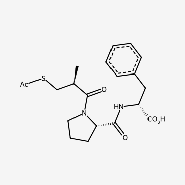 CC(=O)SC[C@@H](C)C(=O)N1CCC[C@H]1C(=O)N[C@H](Cc1ccccc1)C(=O)O